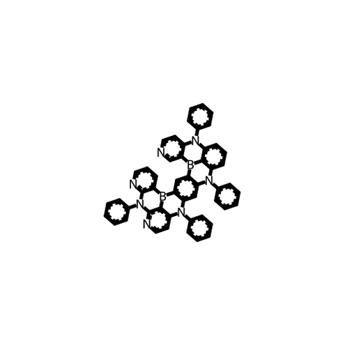 c1ccc(N2c3ccncc3B3c4cc5c(cc4N(c4ccccc4)c4cccc2c43)N(c2ccccc2)c2ccnc3c2B5c2cccnc2N3c2ccccc2)cc1